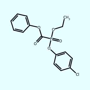 CCOP(=O)(Oc1ccc(Cl)cc1)C(=O)Oc1ccccc1